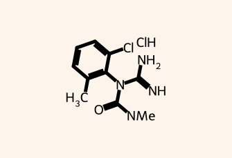 CNC(=O)N(C(=N)N)c1c(C)cccc1Cl.Cl